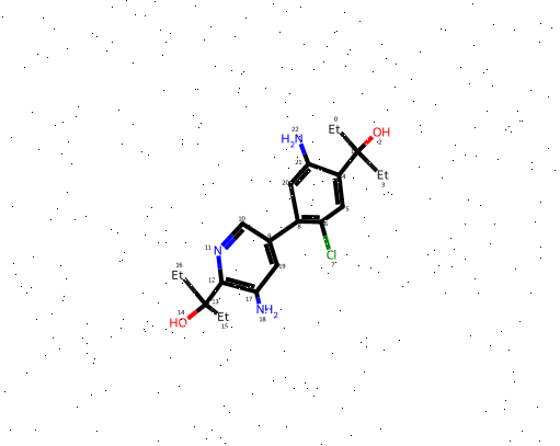 CCC(O)(CC)c1cc(Cl)c(-c2cnc(C(O)(CC)CC)c(N)c2)cc1N